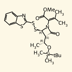 COC(=O)C(=C(C)C)N1C(=O)[C@H]([C@@H](C)O[Si](C)(C)C(C)(C)C)[C@H]1SSc1nc2ccccc2s1